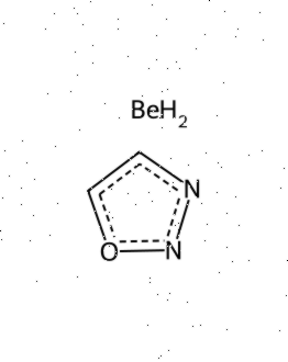 [BeH2].c1conn1